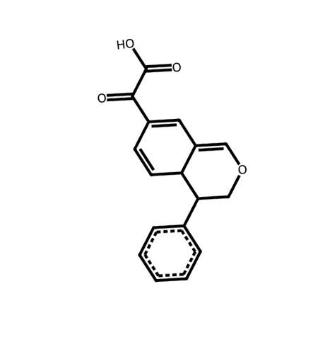 O=C(O)C(=O)C1=CC2=COCC(c3ccccc3)C2C=C1